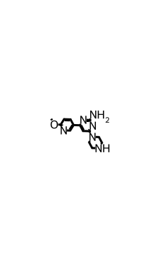 COc1ccc(-c2cc(N3CCNCC3)nc(N)n2)cn1